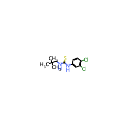 CC(C)(C)CNC(=S)Nc1ccc(Cl)c(Cl)c1